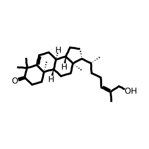 CC(=CCC[C@@H](C)[C@H]1CC[C@H]2[C@@H]3CC=C4C(C)(C)C(=O)CC[C@]4(C)[C@H]3CC[C@]12C)CO